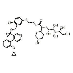 O=C(CCCSc1ccc(Cl)c(COC2(c3cnccc3-c3ccccc3OC3CC3)CC2)c1)N(C[C@@H](O)[C@H](O)[C@@H](O)[C@@H](O)CO)C1CCC(O)CC1